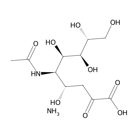 CC(=O)N[C@@H]([C@@H](O)[C@H](O)[C@H](O)CO)[C@@H](O)CC(=O)C(=O)O.N